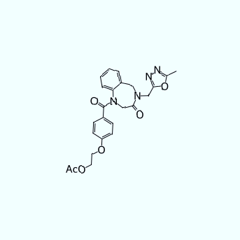 CC(=O)OCCOc1ccc(C(=O)N2CC(=O)N(Cc3nnc(C)o3)Cc3ccccc32)cc1